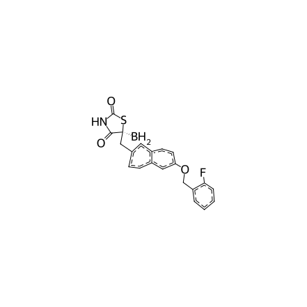 B[C@@]1(Cc2ccc3cc(OCc4ccccc4F)ccc3c2)SC(=O)NC1=O